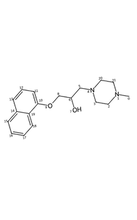 CN1CCN(CC(O)COc2cccc3ccccc23)CC1